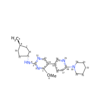 COc1nc(N[C@H]2CC[C@H](C)CC2)ncc1-c1ccc(N2CCCCC2)nc1